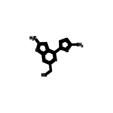 Cc1ccc(-c2nc(CO)cc3oc(C)cc23)o1